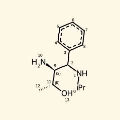 CC(C)NC(c1ccccc1)[C@H](N)[C@@H](C)O